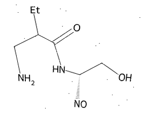 CCC(CN)C(=O)N[C@H](CO)N=O